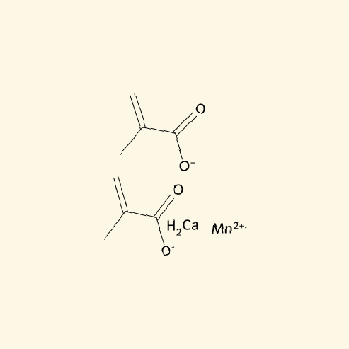 C=C(C)C(=O)[O-].C=C(C)C(=O)[O-].[CaH2].[Mn+2]